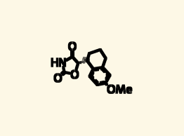 COc1ccc2c(c1)CCC[C@H]2C1OC(=O)NC1=O